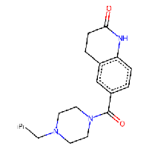 CC(C)CN1CCN(C(=O)c2ccc3c(c2)CCC(=O)N3)CC1